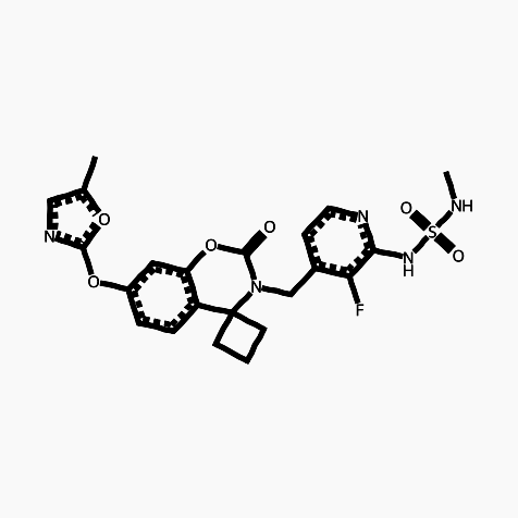 CNS(=O)(=O)Nc1nccc(CN2C(=O)Oc3cc(Oc4ncc(C)o4)ccc3C23CCC3)c1F